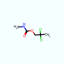 BNC(=O)OCC(C)(Cl)Cl